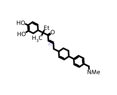 CCC(C)(C(=O)/C=C/CC1C=CC(c2ccc(CNC)cc2)CC1)C1C=CC(O)=C(O)C1